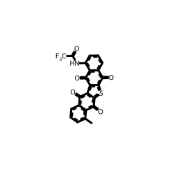 Cc1cccc2c(=O)c3c(sc4c(=O)c5cccc(NC(=O)C(F)(F)F)c5c(=O)c43)c(=O)c12